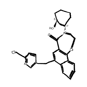 O=C1c2cc(Cc3ccc(Cl)nc3)c3ccccc3c2OCN1[C@H]1CCCC[C@@H]1O